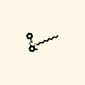 CCCCCCCCCCOc1c(C)cccc1N=Nc1ccccc1